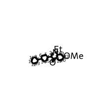 CCn1cc(-c2ccc(-c3ccccc3)cc2)c(=O)c2ccc(OC)cc21